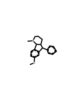 COc1ccc2c(c1)C(c1ccccc1)C1CCCN(C)C21